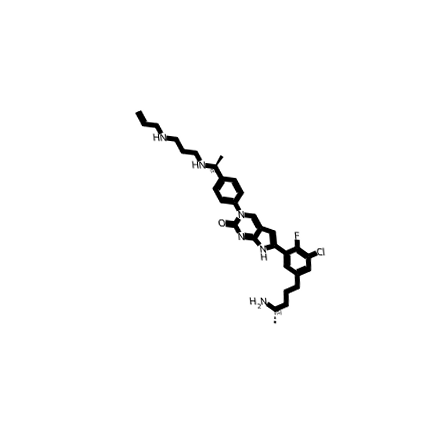 C=CCNCCCN[C@@H](C)c1ccc(-n2cc3cc(-c4cc(CCC[C@H](C)N)cc(Cl)c4F)[nH]c3nc2=O)cc1